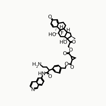 C[C@@H]1C[C@H]2[C@@H]3CCC4=CC(=O)C=C[C@]4(C)[C@@]3(F)[C@@H](O)C[C@]2(C)[C@@]1(O)C(=O)COC(=O)C1CC1C(=O)OCc1ccc(C(CCN)C(=O)Nc2ccc3cnccc3c2)cc1